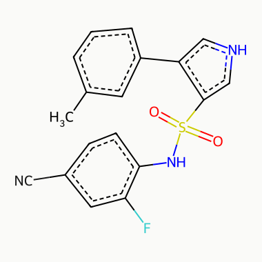 Cc1cccc(-c2c[nH]cc2S(=O)(=O)Nc2ccc(C#N)cc2F)c1